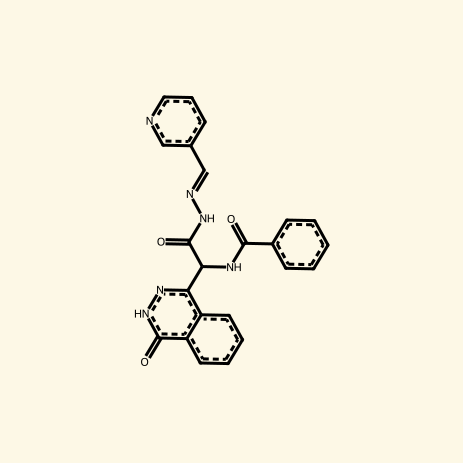 O=C(NC(C(=O)NN=Cc1cccnc1)c1n[nH]c(=O)c2ccccc12)c1ccccc1